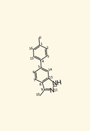 Cc1ccc(-c2ccc3c(C)n[nH]c3c2)cc1